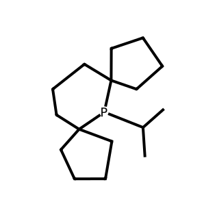 CC(C)P1C2(CCCC2)CCCC12CCCC2